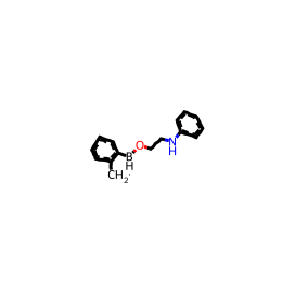 [CH2]c1ccccc1BOCCNc1ccccc1